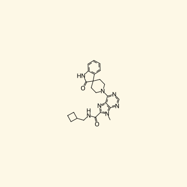 Cn1c(C(=O)NCC2CCC2)nc2c(N3CCC4(CC3)C(=O)Nc3ccccc34)ncnc21